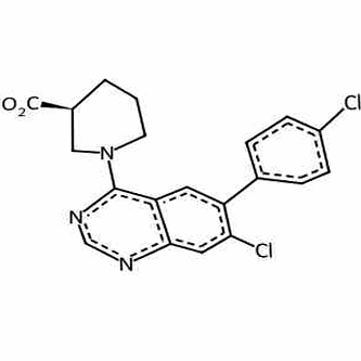 O=C(O)[C@H]1CCCN(c2ncnc3cc(Cl)c(-c4ccc(Cl)cc4)cc23)C1